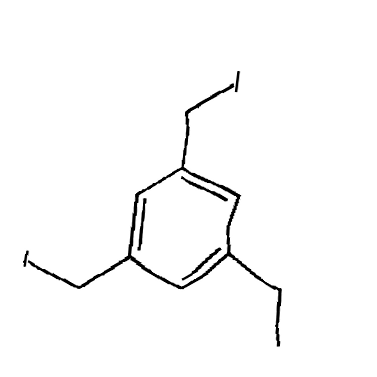 CCc1cc(CI)cc(CI)c1